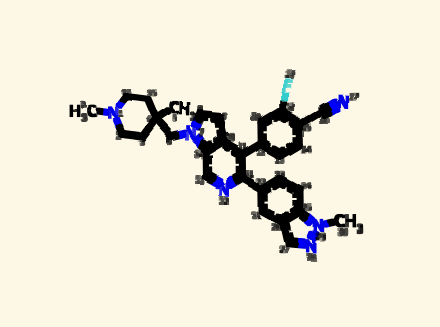 CN1CCC(C)(Cn2ccc3c(-c4ccc(C#N)c(F)c4)c(-c4ccc5c(cnn5C)c4)ncc32)CC1